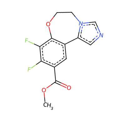 COC(=O)c1cc2c(c(F)c1F)OCCn1cncc1-2